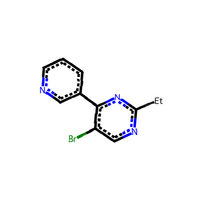 CCc1ncc(Br)c(-c2cccnc2)n1